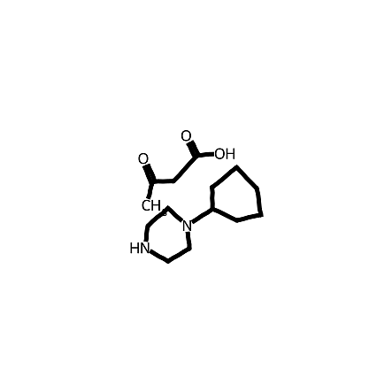 C1CCC(N2CCNCC2)CC1.CC(=O)CC(=O)O